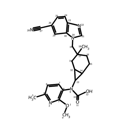 COc1nc(C)ccc1N(C(=O)O)C1C2CCC(C)(Cn3cnc4ccc(C#N)cc43)CC21